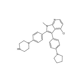 Cn1c(-c2ccc(N3CCNCC3)cc2)c(-c2ccc(N3CCCC3)cc2)c2c(Cl)ccnc21